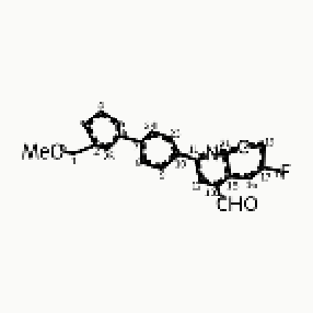 COCc1cccc(-c2ccc(-c3cc(C=O)c4cc(F)ccc4n3)cc2)c1